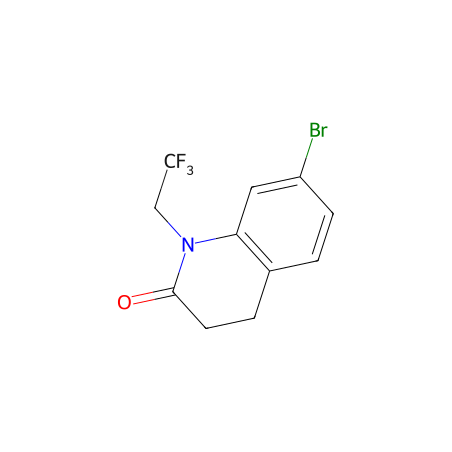 O=C1CCc2ccc(Br)cc2N1CC(F)(F)F